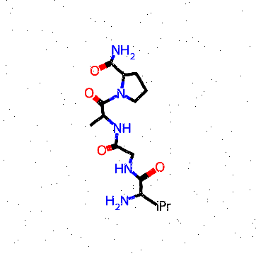 CC(NC(=O)CNC(=O)C(N)C(C)C)C(=O)N1CCCC1C(N)=O